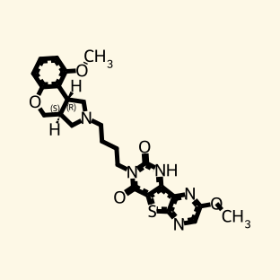 COc1cnc2sc3c(=O)n(CCCCN4C[C@H]5COc6cccc(OC)c6[C@@H]5C4)c(=O)[nH]c3c2n1